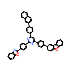 C1=c2oc3ccccc3c2=CC(c2ccc(-c3cc(-c4ccc(-c5ccc6ccccc6c5)cc4)nc(-c4ccc(-c5nc6ccccc6o5)cc4)n3)cc2)C1